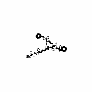 CC(C)(C)C(=O)OCOC(=O)CCCCCNC(=O)[C@H](CCCNC(=O)OCc1ccccc1)NC(=O)c1cc2ccccc2o1